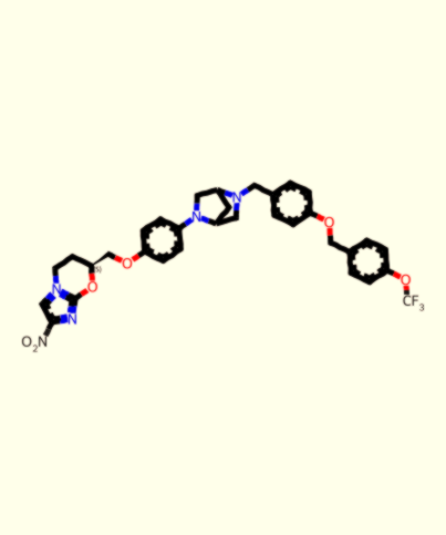 O=[N+]([O-])c1cn2c(n1)O[C@H](COc1ccc(N3CC4CC3CN4Cc3ccc(OCc4ccc(OC(F)(F)F)cc4)cc3)cc1)CC2